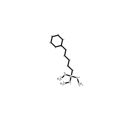 CO[Si](CCCCCC1CCCCC1)(OC)OC